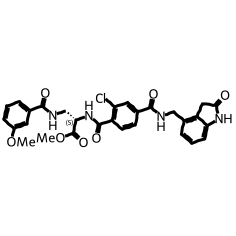 COC(=O)[C@H](CNC(=O)c1cccc(OC)c1)NC(=O)c1ccc(C(=O)NCc2cccc3c2CC(=O)N3)cc1Cl